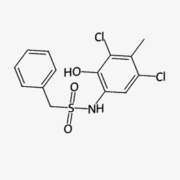 Cc1c(Cl)cc(NS(=O)(=O)Cc2ccccc2)c(O)c1Cl